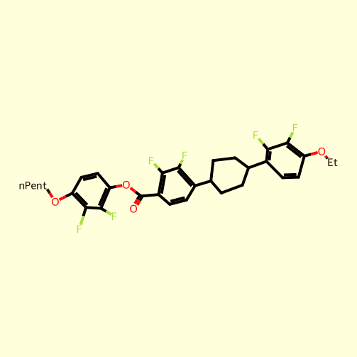 CCCCCOc1ccc(OC(=O)c2ccc(C3CCC(c4ccc(OCC)c(F)c4F)CC3)c(F)c2F)c(F)c1F